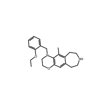 CCOc1ccccc1CN1CCOc2cc3c(c(C)c21)CCNCC3